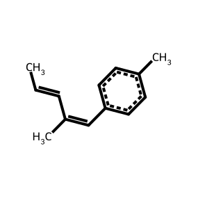 CC=CC(C)=Cc1ccc(C)cc1